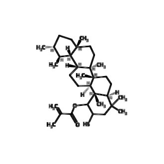 C=C(C)C(=O)OC1C(S)CC(C)(C)[C@@H]2CC[C@]3(C)[C@H](CC[C@@H]4[C@@H]5[C@@H](C)[C@H](C)CC[C@]5(C)CC[C@]43C)[C@@]12C